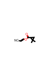 CC1(C)CC1C(=O)OC=CC#N